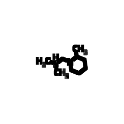 CC1CCCCN1C[SH](C)C